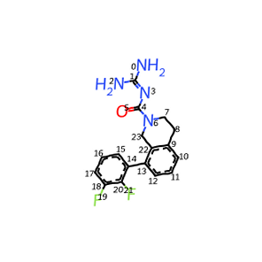 NC(N)=NC(=O)N1CCc2cccc(-c3cccc(F)c3F)c2C1